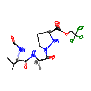 CC(C)[C@H](NC=O)C(=O)N[C@@H](C)C(=O)N1CCC[C@@H](C(=O)OCC(Cl)(Cl)Cl)N1